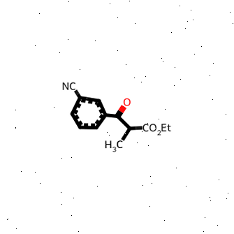 CCOC(=O)C(C)C(=O)c1cccc(C#N)c1